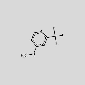 COc1ccnc(C(F)(F)F)c1